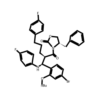 CCCCOc1cc(Br)ccc1[C@@H](Nc1ccc(F)cc1)[C@@H](CCCc1ccc(F)cc1)C(=O)N1C(=O)OC[C@@H]1Cc1ccccc1